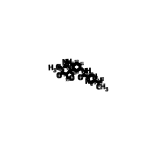 CC(F)c1cnc(C(=O)Nc2ccc(F)c(C34COCC3C(=O)N(C)C(N)=N4)c2)cn1